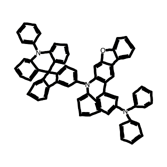 c1ccc(N(c2ccccc2)c2cccc(-c3cc4c(cc3N(c3ccccc3)c3ccc5c(c3)-c3ccccc3C53c5ccccc5N(c5ccccc5)c5ccccc53)oc3ccccc34)c2)cc1